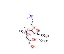 CC(=O)O.C[N+](C)(C)CCOC(=O)CC(O)(CC(=O)[O-])C(=O)O.OCC(O)CO